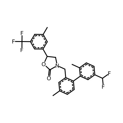 Cc1cc(C2CN(Cc3cc(C)ccc3-c3cc(C(F)F)ccc3C)C(=O)O2)cc(C(F)(F)F)c1